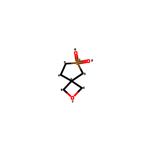 O=S1(=O)CCC2(COC2)C1